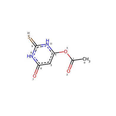 CC(=O)Oc1cc(=O)[nH]c(=S)[nH]1